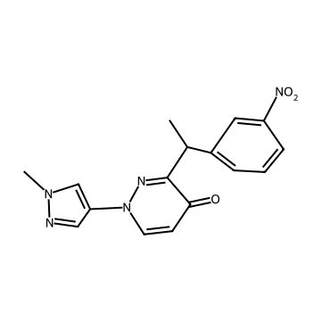 CC(c1cccc([N+](=O)[O-])c1)c1nn(-c2cnn(C)c2)ccc1=O